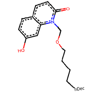 CCCCCCCCCCCCCCOCn1c(=O)ccc2ccc(O)cc21